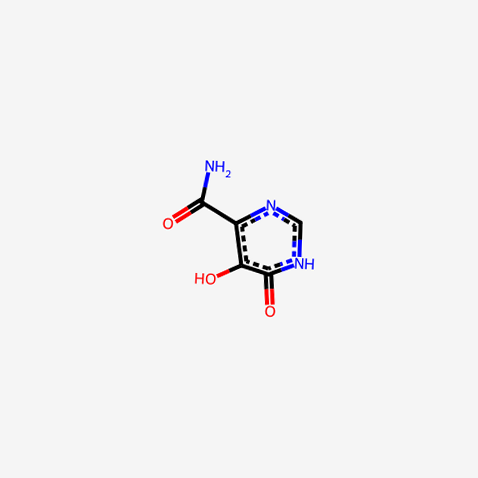 NC(=O)c1nc[nH]c(=O)c1O